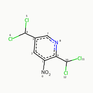 O=[N+]([O-])c1cc(C(Cl)Cl)cnc1C(Cl)Cl